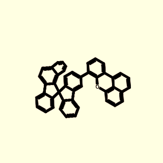 c1ccc2c(c1)-c1cc(-c3cccc4c3Oc3cccc5cccc-4c35)ccc1C21c2ccccc2-c2ccc3ccccc3c21